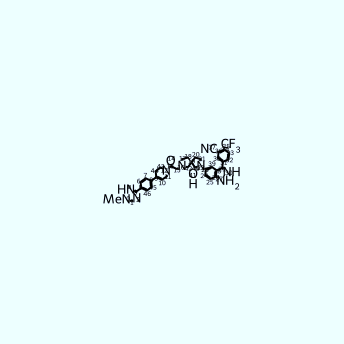 CN/C=N\C(=N)c1ccc(C2=CCN(C(=O)CN3CC[C@]4(CCN(c5ccc(N)c(C(=N)c6ccc(C(F)(F)F)c(C#N)c6)c5)C4O)C3)CC2)cc1